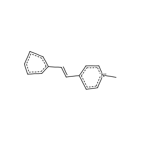 C[n+]1ccc(C=Cc2ccccc2)cc1